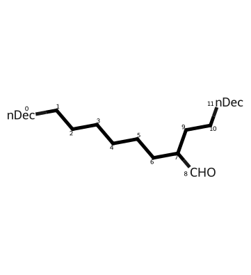 CCCCCCCCCCCCCCCCC(C=O)CCCCCCCCCCCC